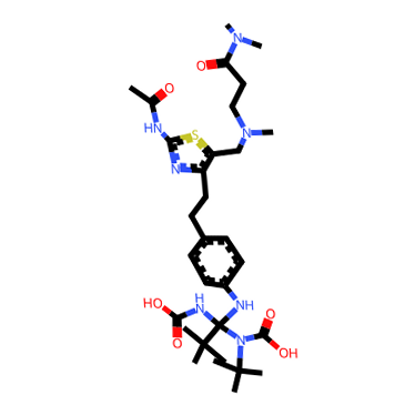 CC(=O)Nc1nc(CCc2ccc(NC(NC(=O)O)(N(C(=O)O)C(C)(C)C)C(C)(C)C)cc2)c(CN(C)CCC(=O)N(C)C)s1